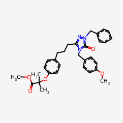 COC(=O)C(C)(C)Oc1ccc(CCCc2nn(Cc3ccccc3)c(=O)n2Cc2ccc(OC)cc2)cc1